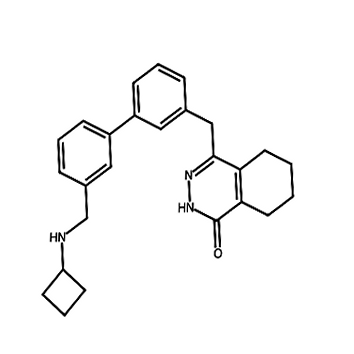 O=c1[nH]nc(Cc2cccc(-c3cccc(CNC4CCC4)c3)c2)c2c1CCCC2